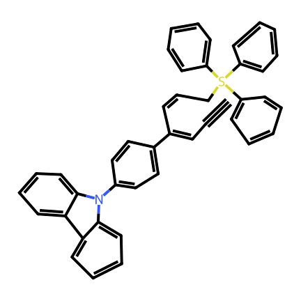 C#C/C=C(\C=C/CS(c1ccccc1)(c1ccccc1)c1ccccc1)c1ccc(-n2c3ccccc3c3ccccc32)cc1